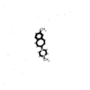 Cc1ccc2c(c1)CCC(N1CCN(C)CC1)CC2